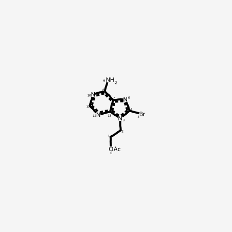 CC(=O)OCCn1c(Br)nc2c(N)ncnc21